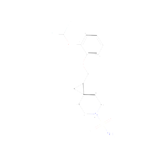 NS(=O)(=O)N1CCC2(CC1)CC2COc1ccccc1OC(F)F